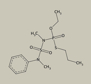 CCCSP(=O)(OCC)N(C)S(=O)(=O)N(C)c1ccccc1